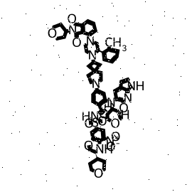 Cc1ccccc1[C@@H]1CN(c2cccc3c2C(=O)N(C2CCOCC2)C3=O)CCN1C1CC2(CCN(c3ccc(C(=O)NS(=O)(=O)c4cc5c(c([N+](=O)[O-])c4)N[C@H](C4CCOCC4)CO5)c(N4c5cc6cc[nH]c6nc5O[C@H]5COCC[C@@H]54)c3)CC2)C1